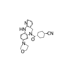 N#C[C@H]1CC[C@H](C(=O)N2Cc3cccnc3Nc3ccc(N4CCOCC4)cc32)CC1